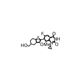 COc1c(-c2cc3c(s2)CCC(CO)C3)c(F)cc2c(=O)[nH]c(=O)n(C3CC3)c12